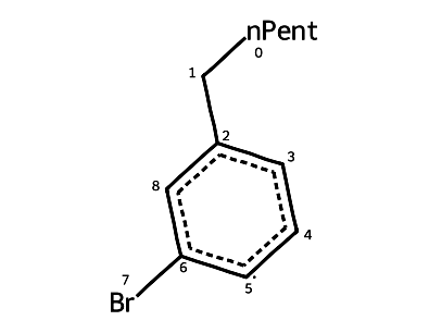 CCCCCCc1cc[c]c(Br)c1